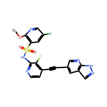 CCOc1ncc(Cl)cc1S(=O)(=O)Nc1nccc(C#Cc2cnc3[nH]ncc3c2)c1F